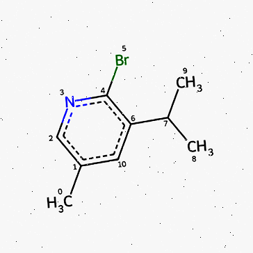 Cc1cnc(Br)c(C(C)C)c1